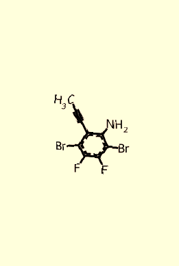 CC#Cc1c(N)c(Br)c(F)c(F)c1Br